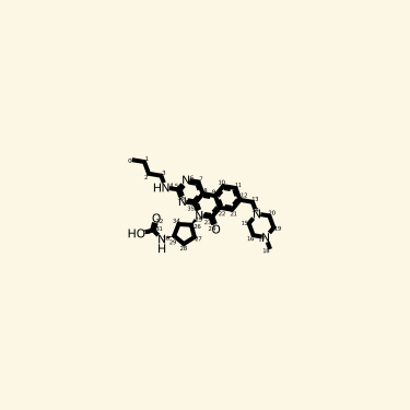 CCCCNc1ncc2c3ccc(CN4CCN(C)CC4)cc3c(=O)n([C@H]3CC[C@H](NC(=O)O)C3)c2n1